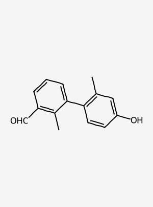 Cc1cc(O)ccc1-c1cccc(C=O)c1C